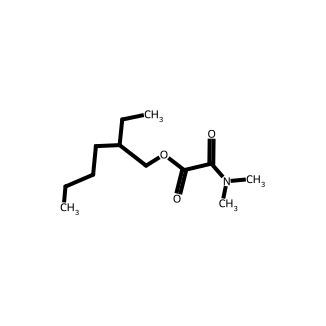 CCCCC(CC)COC(=O)C(=O)N(C)C